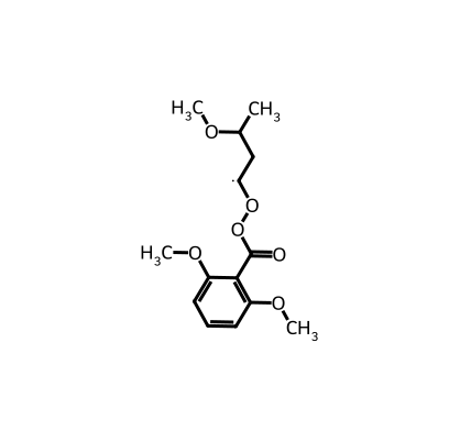 COc1cccc(OC)c1C(=O)OO[CH]CC(C)OC